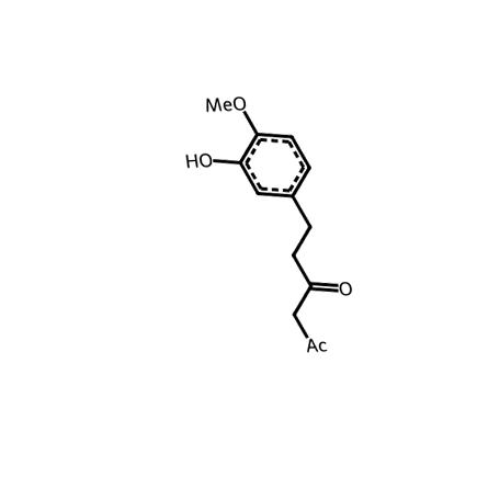 COc1ccc(CCC(=O)CC(C)=O)cc1O